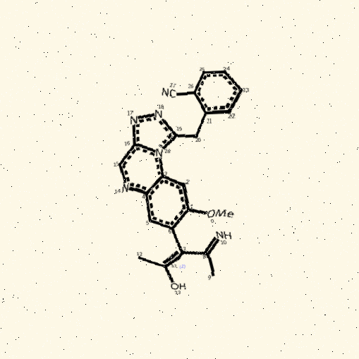 COc1cc2c(cc1/C(C(C)=N)=C(\C)O)ncc1nnc(Cc3ccccc3C#N)n12